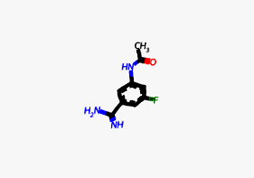 CC(=O)Nc1cc(F)cc(C(=N)N)c1